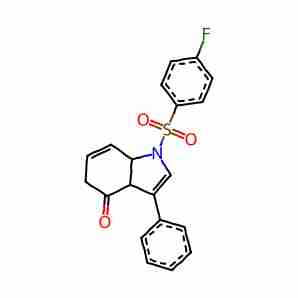 O=C1CC=CC2C1C(c1ccccc1)=CN2S(=O)(=O)c1ccc(F)cc1